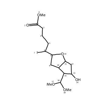 COC(=O)CCCC(I)C1CC2C(CC(O)C2C(OC)OC)O1